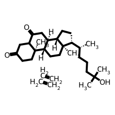 C=C.C=C.C[C@H](CCCC(C)(C)O)[C@H]1CC[C@H]2[C@@H]3CC(=O)C4CC(=O)CC[C@]4(C)[C@H]3CC[C@]12C